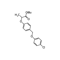 CC(C)COC(=O)C(C)Oc1ccc(COc2ccc(Cl)cc2)cc1